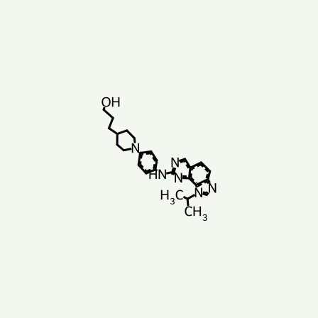 CC(C)n1cnc2ccc3cnc(Nc4ccc(N5CCC(CCCO)CC5)cc4)nc3c21